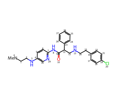 CNCCNc1ccc(NC(=O)C(CNCCc2ccc(Cl)cc2)c2ccccc2)nc1